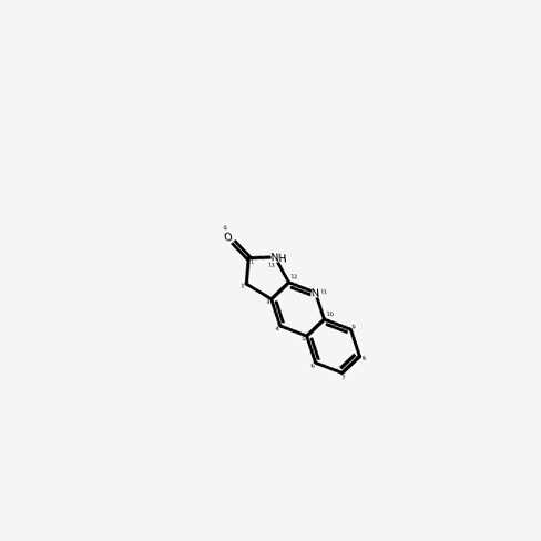 O=C1Cc2cc3ccccc3nc2N1